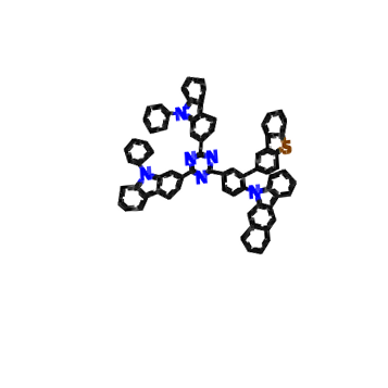 c1ccc(-n2c3ccccc3c3ccc(-c4nc(-c5ccc(-n6c7ccccc7c7cc8ccccc8cc76)c(-c6ccc7sc8ccccc8c7c6)c5)nc(-c5ccc6c7ccccc7n(-c7ccccc7)c6c5)n4)cc32)cc1